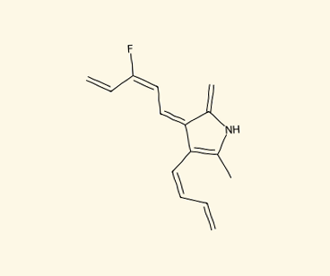 C=C/C=C\c1c(C)[nH]c(=C)/c1=C\C=C(\F)C=C